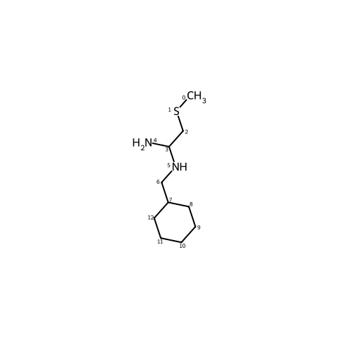 CSCC(N)NCC1CCCCC1